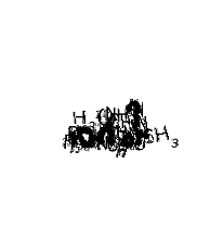 Cc1nc(-c2ncccn2)sc1C(=O)N1C[C@@H]2C(Oc3cc(C(C)(C)N)cc(-c4ccc(C(F)(F)F)cc4)n3)[C@@H]2C1